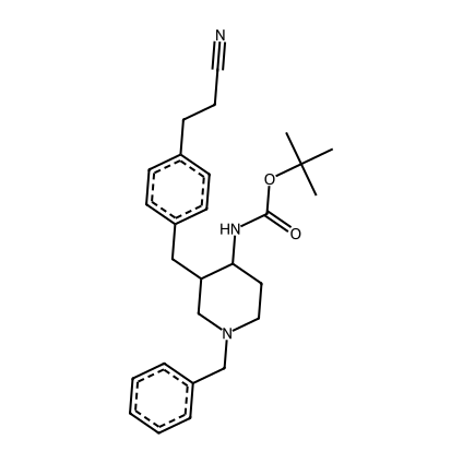 CC(C)(C)OC(=O)NC1CCN(Cc2ccccc2)CC1Cc1ccc(CCC#N)cc1